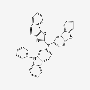 c1ccc(-n2c3ccccc3c3ccc(N(c4ccc5oc6ccccc6c5c4)c4nc5ccc6ccccc6c5o4)cc32)cc1